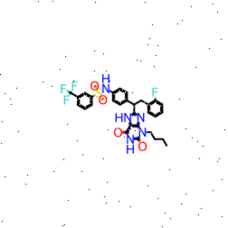 CCCCn1c(=O)[nH]c(=O)c2[nH]c(C(Cc3ccccc3F)c3ccc(NS(=O)(=O)c4cccc(C(F)(F)F)c4)cc3)nc21